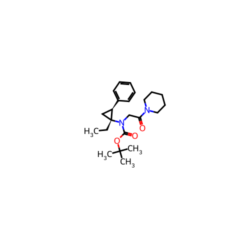 CC[C@@]1(N(CC(=O)N2CCCCC2)C(=O)OC(C)(C)C)C[C@H]1c1ccccc1